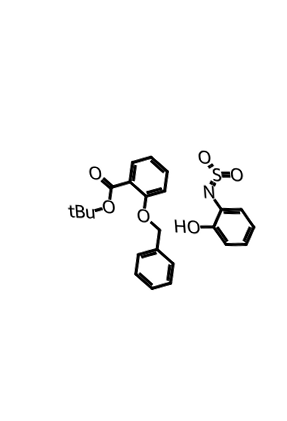 CC(C)(C)OC(=O)c1ccccc1OCc1ccccc1.O=S(=O)=Nc1ccccc1O